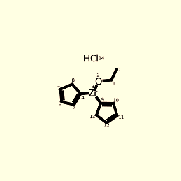 CC[O][Zr]([C]1=CC=CC1)[C]1=CC=CC1.Cl